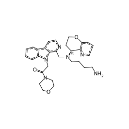 NCCCCN(Cc1nccc2c3ccccc3n(CC(=O)N3CCOCC3)c12)[C@H]1CCOc2cccnc21